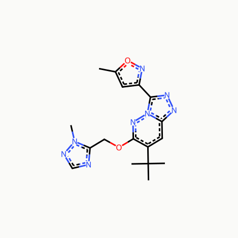 Cc1cc(-c2nnc3cc(C(C)(C)C)c(OCc4ncnn4C)nn23)no1